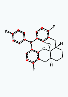 Fc1ccc(P(c2ccc(F)cc2)c2cccc3c2OC24Oc5c(cccc5P(c5ccc(F)cc5)c5ccc(F)cc5)C[C@@H]2CCC[C@H]4C3)cc1